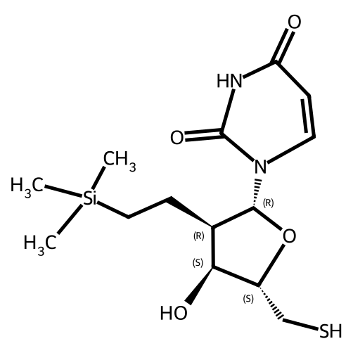 C[Si](C)(C)CC[C@@H]1[C@H](O)[C@@H](CS)O[C@H]1n1ccc(=O)[nH]c1=O